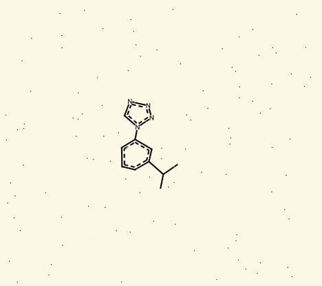 CC(C)c1cccc(-n2cnnn2)c1